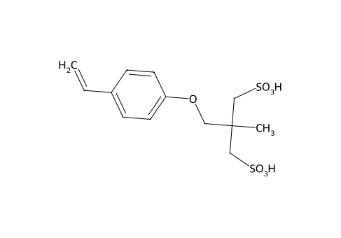 C=Cc1ccc(OCC(C)(CS(=O)(=O)O)CS(=O)(=O)O)cc1